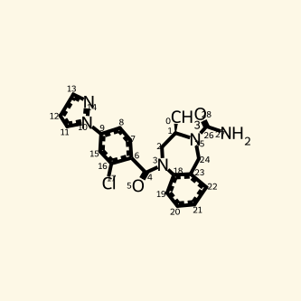 C[C@@H]1CN(C(=O)c2ccc(-n3cccn3)cc2Cl)c2ccccc2CN1C(N)=O